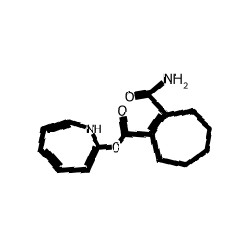 NC(=O)C1=C(C(=O)OC2=CC=CC=CN2)CCCCC1